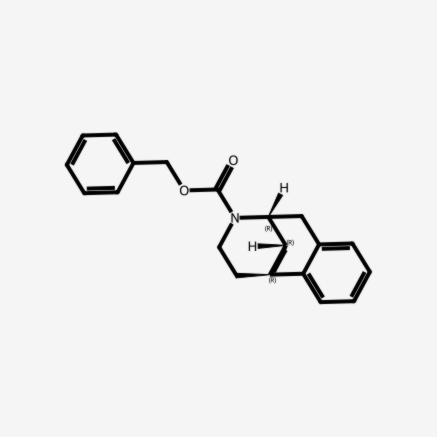 O=C(OCc1ccccc1)N1CC[C@]23CCCC[C@H]2[C@H]1Cc1ccccc13